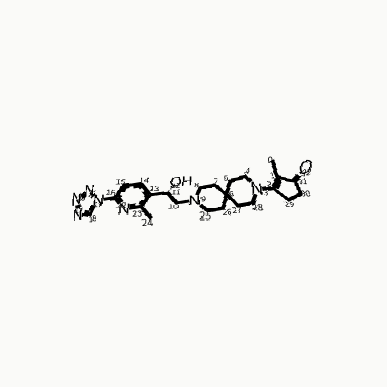 CC1=C(N2CCC3(CCN(C[C@@H](O)c4ccc(-n5cnnn5)nc4C)CC3)CC2)CCC1=O